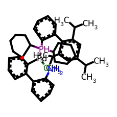 CC(C)c1cc(C(C)C)c(-c2ccccc2[PH](C2CCCCC2)(C2CCCCC2)[Pd]([Cl])[c]2ccccc2-c2ccccc2N)c(C(C)C)c1